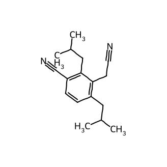 CC(C)Cc1ccc(C#N)c(CC(C)C)c1CC#N